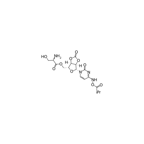 CC(C)C(=O)ONc1ccn([C@@H]2O[C@H](COC(=O)[C@H](N)CO)[C@H]3OC(=O)O[C@H]32)c(=O)n1